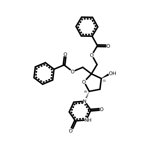 O=C(OCC1(COC(=O)c2ccccc2)O[C@@H](n2ccc(=O)[nH]c2=O)C[C@@H]1O)c1ccccc1